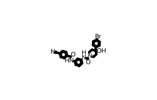 N#Cc1ccc(C(=O)Nc2cccc(NC(=O)N3CCC(O)(c4ccc(Br)cc4)CC3)c2)cc1